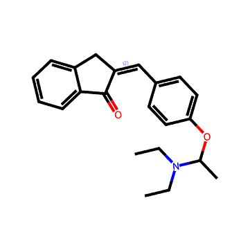 CCN(CC)C(C)Oc1ccc(/C=C2/Cc3ccccc3C2=O)cc1